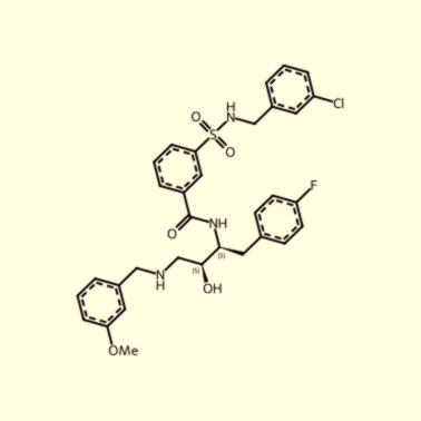 COc1cccc(CNC[C@H](O)[C@H](Cc2ccc(F)cc2)NC(=O)c2cccc(S(=O)(=O)NCc3cccc(Cl)c3)c2)c1